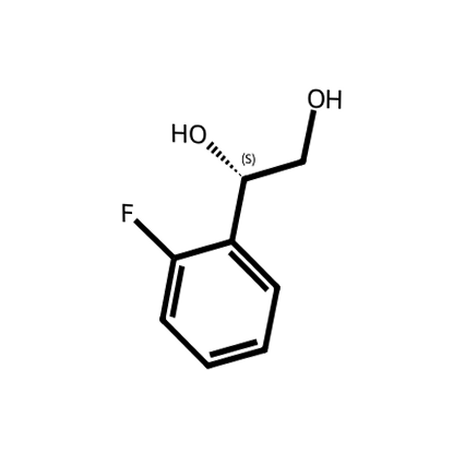 OC[C@@H](O)c1ccccc1F